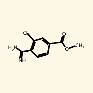 COC(=O)c1ccc(C(=N)N)c(Cl)c1